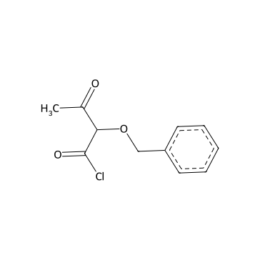 CC(=O)C(OCc1ccccc1)C(=O)Cl